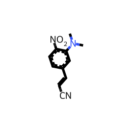 CN(C)c1cc(C=CC#N)ccc1[N+](=O)[O-]